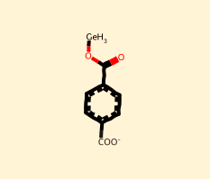 O=C([O-])c1ccc(C(=O)[O][GeH3])cc1